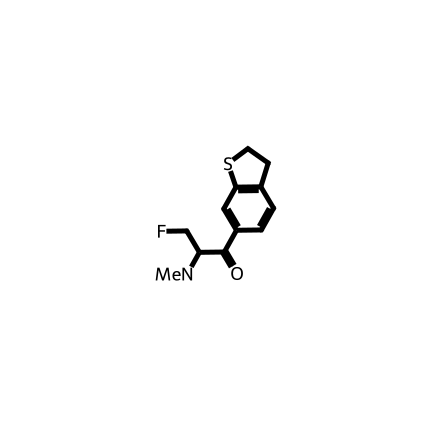 CNC(CF)C(=O)c1ccc2c(c1)SCC2